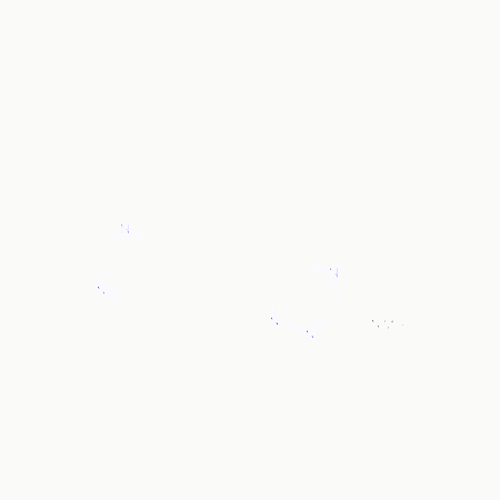 CNc1nnc(-c2ccc3ncnc(C)c3c2)c(-c2ccccc2)n1